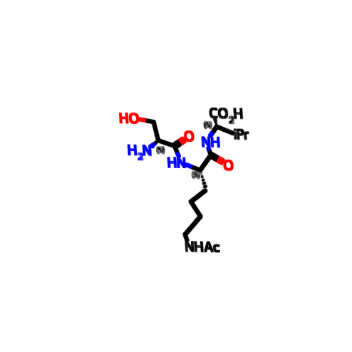 CC(=O)NCCCC[C@H](NC(=O)[C@@H](N)CO)C(=O)N[C@H](C(=O)O)C(C)C